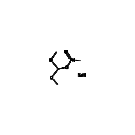 COC(OC)O[PH](C)=O.[NaH]